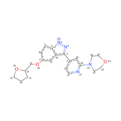 c1cc(-c2n[nH]c3ccc(OCC4CCCO4)cc23)cc(N2CCOCC2)n1